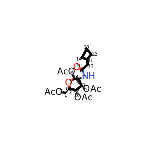 CC(=O)OC[C@H]1OC(OC(C)=O)[C@H](NC(=O)CC2CCC2)[C@@H](OC(C)=O)[C@@H]1OC(C)=O